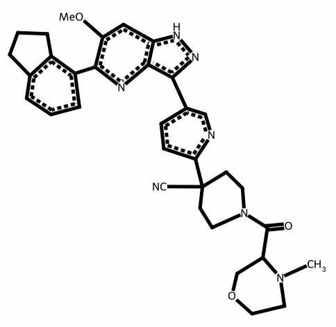 COc1cc2[nH]nc(-c3ccc(C4(C#N)CCN(C(=O)C5COCCN5C)CC4)nc3)c2nc1-c1cccc2c1CCC2